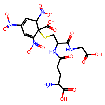 NC(CCC(=O)NC(CSC1(C(=O)O)C([N+](=O)[O-])=CC([N+](=O)[O-])=CC1[N+](=O)[O-])C(=O)NCC(=O)O)C(=O)O